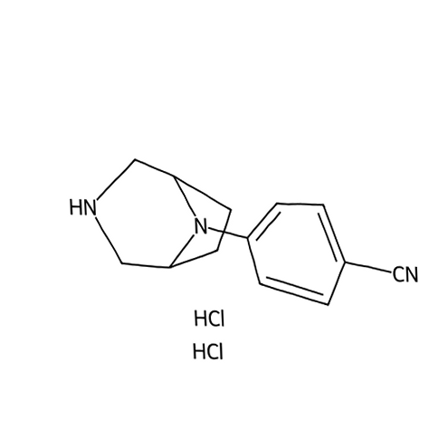 Cl.Cl.N#Cc1ccc(N2C3CCC2CNC3)cc1